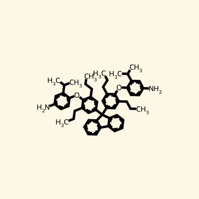 CCCc1cc(C2(c3cc(CCC)c(Oc4ccc(N)cc4C(C)C)c(CCC)c3)c3ccccc3-c3ccccc32)cc(CCC)c1Oc1ccc(N)cc1C(C)C